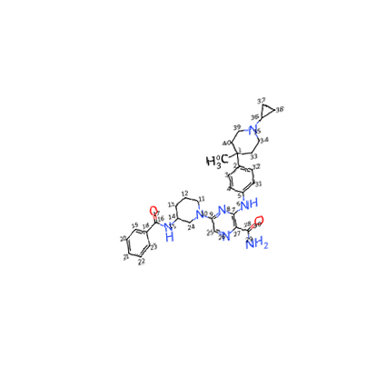 CC1(c2ccc(Nc3nc(N4CCCC(NC(=O)c5ccccc5)C4)cnc3C(N)=O)cc2)CCN(C2CC2)CC1